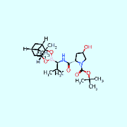 CC(C)[C@H](NC(=O)[C@@H]1C[C@@H](O)CN1C(=O)OC(C)(C)C)B1O[C@@H]2C[C@@H]3C[C@@H](C3(C)C)[C@]2(C)O1